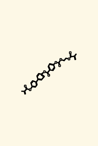 C=C(C)C(=O)OCCOC(=O)Oc1ccc(C(=O)Oc2ccc(-c3ccc(OC(=O)C(=C)C)cc3)cc2)cc1